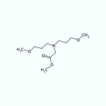 COCCCN(CCCOC)CC(=O)OC